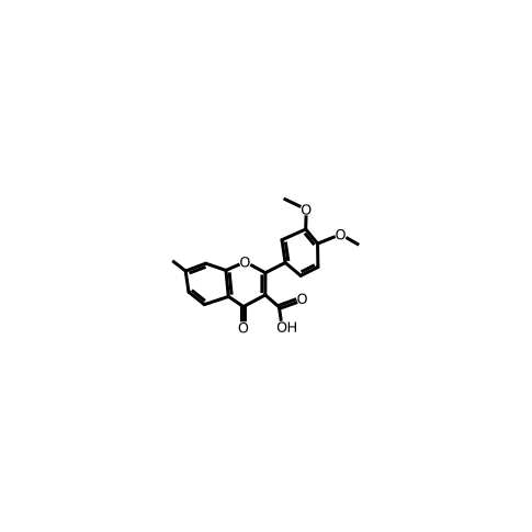 COc1ccc(-c2oc3cc(C)ccc3c(=O)c2C(=O)O)cc1OC